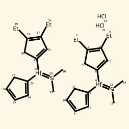 CCC1=C(CC)C[C]([Hf]([C]2=CC=CC2)=[Si](C)C)=C1.CCC1=C(CC)C[C]([Hf]([C]2=CC=CC2)=[Si](C)C)=C1.Cl.Cl